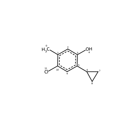 Cc1cc(O)c(C2CC2)cc1Cl